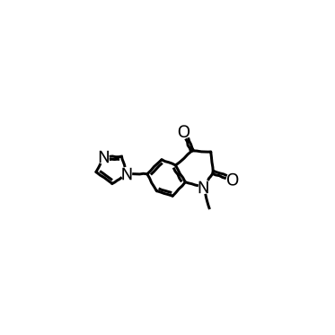 CN1C(=O)CC(=O)c2cc(-n3ccnc3)ccc21